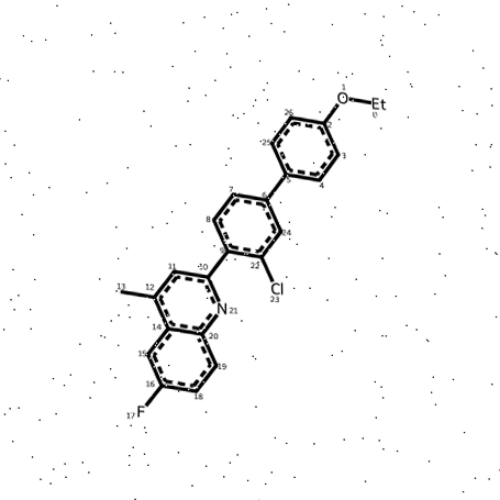 CCOc1ccc(-c2ccc(-c3cc(C)c4cc(F)ccc4n3)c(Cl)c2)cc1